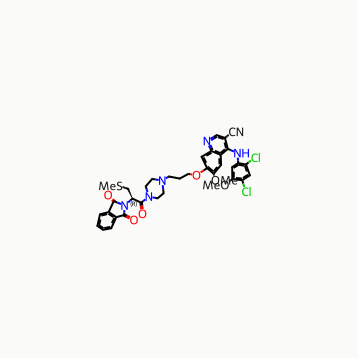 COc1cc(Nc2c(C#N)cnc3cc(OCCCN4CCN(C(=O)[C@H](CSC)N5C(=O)c6ccccc6C5=O)CC4)c(OC)cc23)c(Cl)cc1Cl